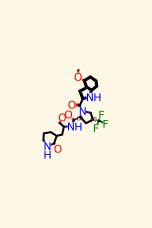 COc1cccc2[nH]c(C(=O)N3C[C@H](C(F)(F)F)C[C@H]3C(=O)NC(C=O)CC3CCCNC3=O)cc12